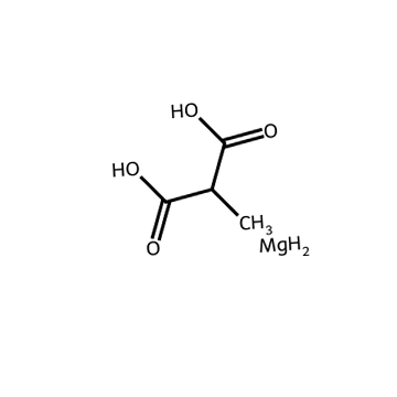 CC(C(=O)O)C(=O)O.[MgH2]